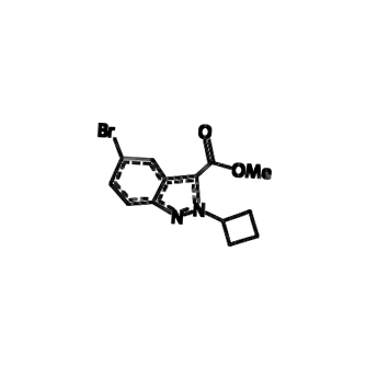 COC(=O)c1c2cc(Br)ccc2nn1C1CCC1